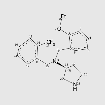 CCOc1ccccc1CN(Cc1ccccc1C(F)(F)F)[C@H]1CCNC1